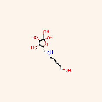 OCCCCCNC[C@H]1O[C@@](O)(CO)[C@H](O)[C@H]1O